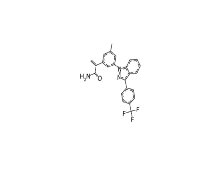 C=C(C(N)=O)c1cc(C)cc(-n2nc(-c3ccc(C(F)(F)F)cc3)c3ccccc32)c1